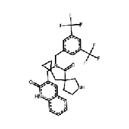 O=C(N(Cc1cc(C(F)(F)F)cc(C(F)(F)F)c1)Cc1cc2ccccc2[nH]c1=O)C1(CC2CC2)CCNC1